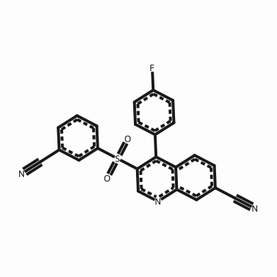 N#Cc1cccc(S(=O)(=O)c2cnc3cc(C#N)ccc3c2-c2ccc(F)cc2)c1